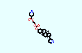 CN1CCC(C(=O)OCCOC(=O)O[C@H]2CC[C@@]3(C)C(=CC[C@@H]4[C@@H]3CC[C@]3(C)C(c5cccnc5)=CC[C@@H]43)C2)CC1